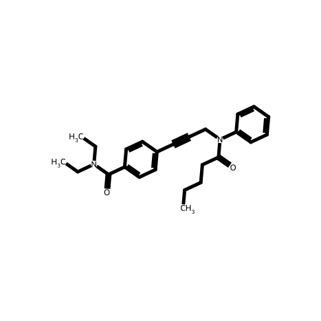 CCCCC(=O)N(CC#Cc1ccc(C(=O)N(CC)CC)cc1)c1ccccc1